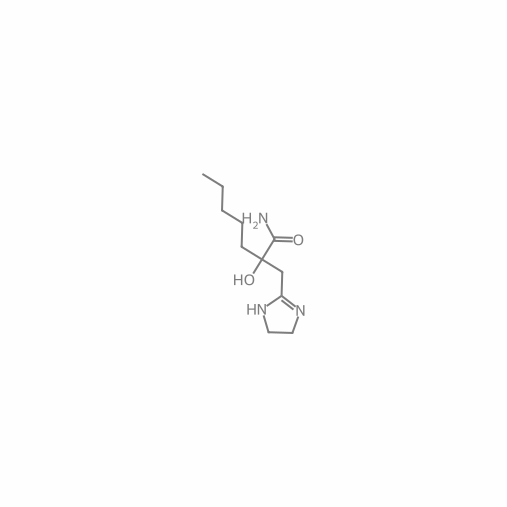 CCCCCC(O)(CC1=NCCN1)C(N)=O